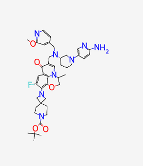 COc1cc(CN(Cc2cn3c4c(c(N5CC6(CCN(C(=O)OC(C)(C)C)CC6)C5)c(F)cc4c2=O)OCC3C)[C@H]2CCCN(c3ccc(N)nc3)C2)ccn1